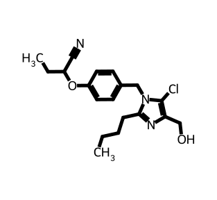 CCCCc1nc(CO)c(Cl)n1Cc1ccc(OC(C#N)CC)cc1